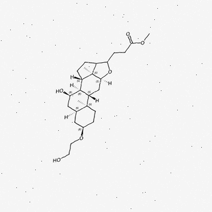 COC(=O)CCC1O[C@H]2C[C@H]3[C@@H]([C@H](O)C[C@@H]4C[C@H](OCCO)CC[C@@]43C)[C@@H]3CCC1[C@@]23C